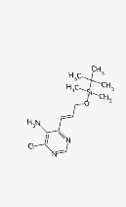 CC(C)(C)[Si](C)(C)OC/C=C/c1ncnc(Cl)c1N